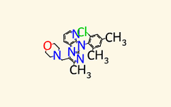 Cc1cc(C)c(-n2c3ncccc3n3c(CN4CCOCC4)c(C)nc23)c(Cl)c1